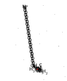 CCCCc1nc2c(N)nnc(OC(C)C)c2n1Cc1ccc(CN2CCN(C(=O)CCOCCOCCOCCOCCOCCOCCOCCOCCOCCOCCOCCOCCOCCOCCOCCOCCOCCOCCOCCOCCOCCOCCOCCOCCN=[N+]=[N-])CC2)cc1